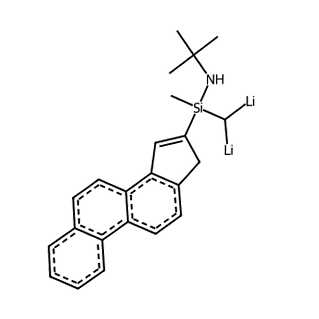 [Li][CH]([Li])[Si](C)(NC(C)(C)C)C1=Cc2c(ccc3c2ccc2ccccc23)C1